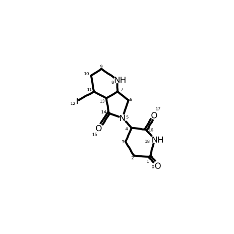 O=C1CCC(N2CC3NCCC(I)C3C2=O)C(=O)N1